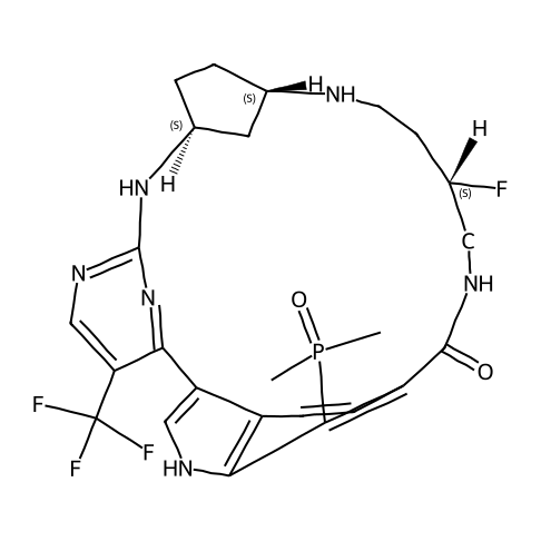 CP(C)(=O)c1c2ccc3c(c[nH]c13)-c1nc(ncc1C(F)(F)F)N[C@H]1CC[C@@H](C1)NCC[C@H](F)CNC2=O